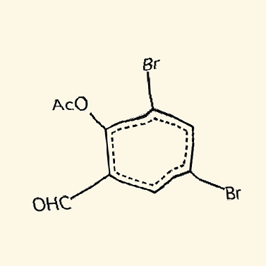 CC(=O)Oc1c(Br)cc(Br)cc1C=O